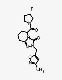 Cc1cc(Cn2nc3n(c2=O)C(C(=O)N2CC[C@H](F)C2)CCC3)on1